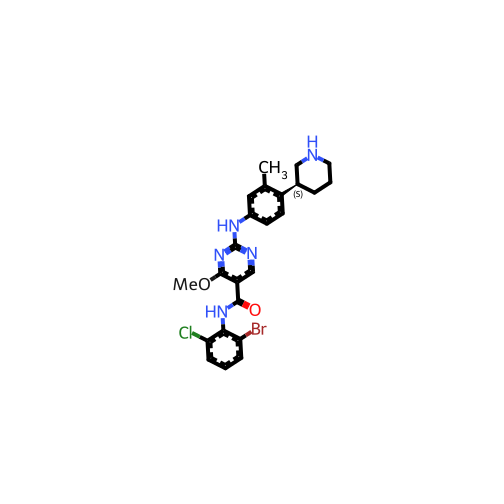 COc1nc(Nc2ccc([C@@H]3CCCNC3)c(C)c2)ncc1C(=O)Nc1c(Cl)cccc1Br